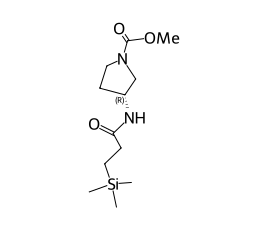 COC(=O)N1CC[C@@H](NC(=O)CC[Si](C)(C)C)C1